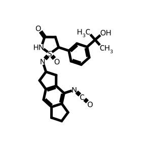 CC(C)(O)c1cccc(C2CC(=O)NS2(=O)=NC2Cc3cc4c(c(N=C=O)c3C2)CCC4)c1